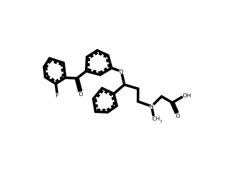 CN(CCC(Oc1cccc(C(=O)c2ccccc2F)c1)c1ccccc1)CC(=O)O